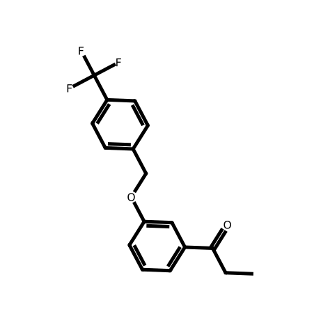 CCC(=O)c1cccc(OCc2ccc(C(F)(F)F)cc2)c1